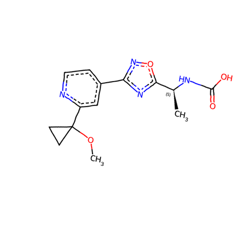 COC1(c2cc(-c3noc([C@H](C)NC(=O)O)n3)ccn2)CC1